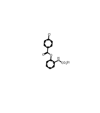 CCOC(=O)Nc1ccccc1OC(=O)c1ccc(Cl)cc1